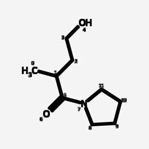 CC(CCO)C(=O)N1CCCC1